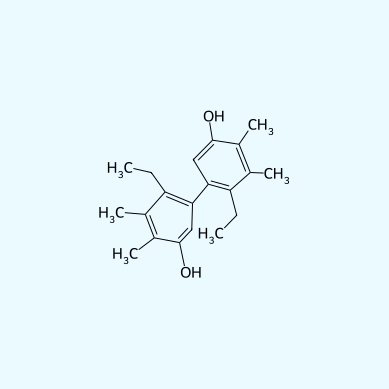 CCc1c(-c2cc(O)c(C)c(C)c2CC)cc(O)c(C)c1C